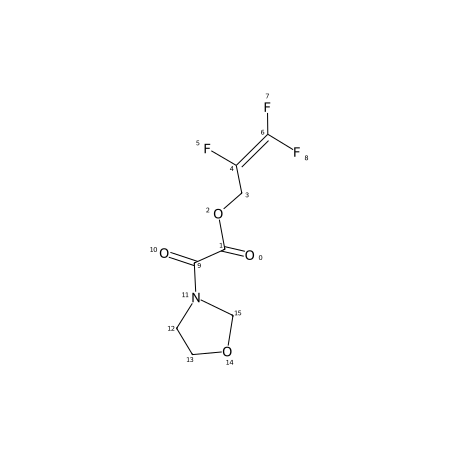 O=C(OCC(F)=C(F)F)C(=O)N1CCOC1